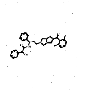 Cc1cccc(C)c1C(=O)N1C=C2CN(CC[C@H](NC(=O)C(O)c3ccccc3)c3ccccc3)CC2C1